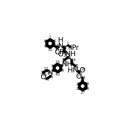 CC(C)C[C@H](N[C@@H](c1ccccc1)C(F)(F)F)C(=O)N[C@@H](CCCNC(=O)OCc1ccccc1)CNc1ccc(N2CCOCC2)cc1